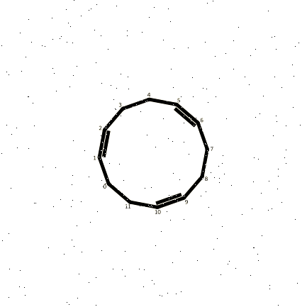 [CH]1C=CCCC=CCCC=CC1